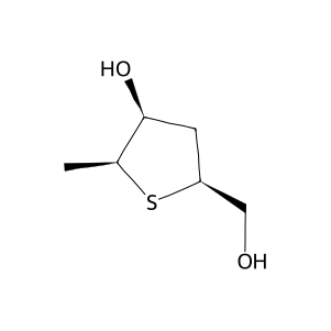 C[C@@H]1S[C@H](CO)C[C@@H]1O